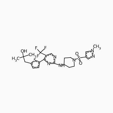 Cn1cc(S(=O)(=O)N2CCC(Nc3ncc(C(F)(F)F)c(-c4ccc(CC(C)(C)O)s4)n3)CC2)cn1